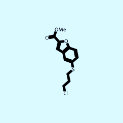 COC(=O)c1cc2cc(SCCCCl)ccc2o1